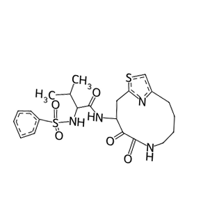 CC(C)C(NS(=O)(=O)c1ccccc1)C(=O)NC1Cc2nc(cs2)CCCCNC(=O)C1=O